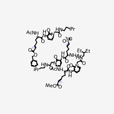 CC(=O)N[C@@H](CC/C=C/C(=O)OCc1ccccc1)C(=O)Nc1cccn(CC(=O)NCCC(C)C)c1=O.CC(=O)N[C@@H](CC/C=C/S(C)(=O)=O)C(=O)Nc1cccn(CC(=O)NCCC(C)C)c1=O.CCC(CC)CNC(=O)Cn1cccc(NC(=O)[C@H](CC/C=C/C(=O)OC)NC(C)=O)c1=O